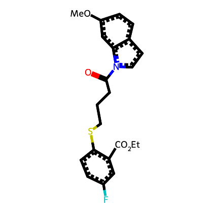 CCOC(=O)c1cc(F)ccc1SCCCC(=O)n1ccc2ccc(OC)cc21